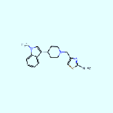 CC(=O)Nc1nc(CN2CCC(c3cn(C)c4ccccc34)CC2)cs1